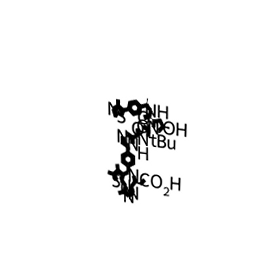 Cc1ncsc1-c1ccc([C@H](C)NC(=O)[C@@H]2C[C@@H](O)CN2C(=O)[C@@H](NC(=O)c2cncc(-c3ccc(C4=N[C@@H](CC(=O)O)c5nnc(C)n5-c5sc(C)c(C)c54)cc3)n2)C(C)(C)C)cc1